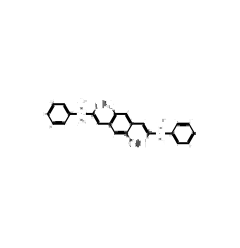 N#C/C(=C\c1cc(O)c(/C=C(\C#N)S(=O)(=O)c2ccccc2)cc1O)S(=O)(=O)c1ccccc1